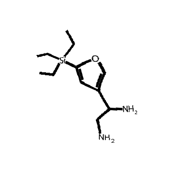 CC[Si](CC)(CC)c1cc(C(N)CN)co1